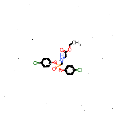 CCOC(=O)CNCP(=O)(Oc1ccc(Cl)cc1)Oc1ccc(Cl)cc1